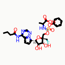 CCCC(=O)Nc1ncnn2c([C@@H]3O[C@](CF)(CO[P@@](=O)(NC(C)C(=O)O)Oc4ccccc4)[C@@H](O)[C@H]3O)ccc12